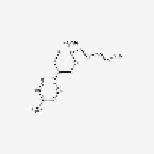 COC1(C=CC=CC#N)CCC(c2ccc(C(F)(F)F)cc2)CC1